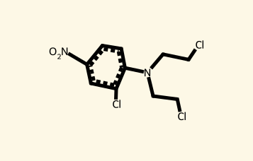 O=[N+]([O-])c1ccc(N(CCCl)CCCl)c(Cl)c1